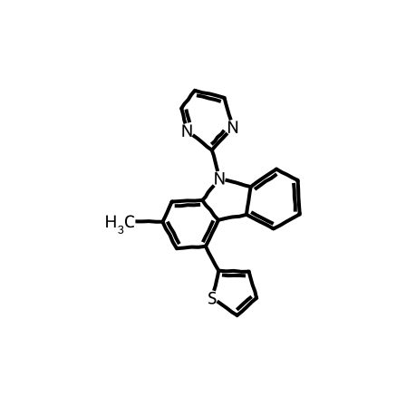 Cc1cc(-c2cccs2)c2c3ccccc3n(-c3ncccn3)c2c1